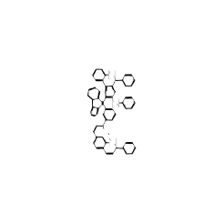 c1ccc(-c2ccc3ccc4ccc(-c5ccc6c(c5)C5(c7ccccc7-c7ccccc75)c5cc7c(cc5N6c5ccccc5)c(-c5ccccc5)nc5ccccc57)nc4c3n2)cc1